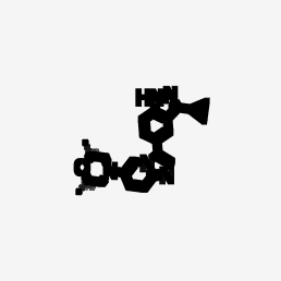 C[C@@H]1CN(c2ccc3ncc(-c4ccc5[nH]nc(C6CC6)c5c4)n3c2)C[C@H](C)O1